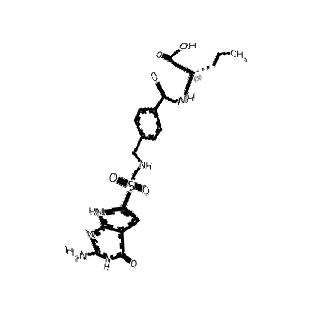 CCC[C@H](NC(=O)c1ccc(CNS(=O)(=O)c2cc3c(=O)[nH]c(N)nc3[nH]2)cc1)C(=O)O